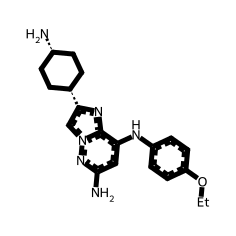 CCOc1ccc(Nc2cc(N)nn3cc([C@H]4CC[C@@H](N)CC4)nc23)cc1